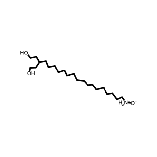 [O-][NH2+]CCCCCCCCCCCCCCCCCC(CCO)CCO